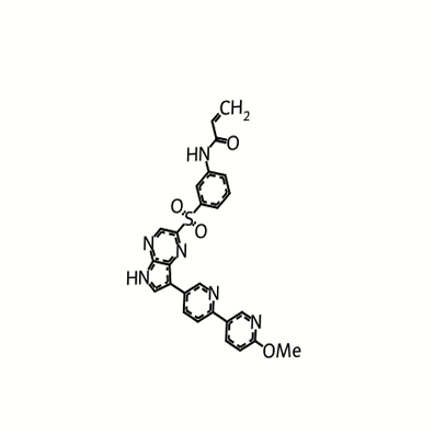 C=CC(=O)Nc1cccc(S(=O)(=O)c2cnc3[nH]cc(-c4ccc(-c5ccc(OC)nc5)nc4)c3n2)c1